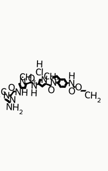 C=CCOC(=O)Nc1ccc2c(ccn2C(=O)c2cc(NC(=O)c3cc(NC(=O)c4nc(N)cn4C)cn3C)cn2C)c1.Cl